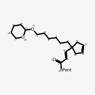 CCCCCC(=O)C=CC1(CCCCCCOC2CCCCO2)CC=CC1